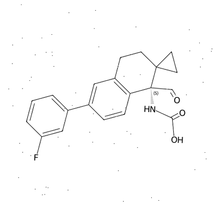 O=C[C@@]1(NC(=O)O)c2ccc(-c3cccc(F)c3)cc2CCC12CC2